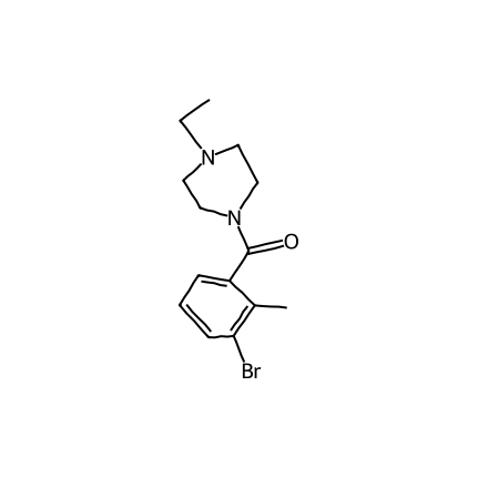 CCN1CCN(C(=O)c2cccc(Br)c2C)CC1